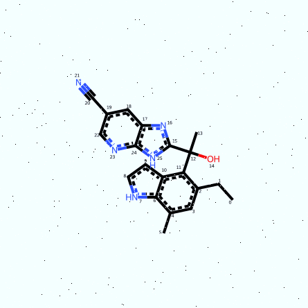 CCc1cc(C)c2[nH]ccc2c1C(C)(O)c1nc2cc(C#N)cnc2[nH]1